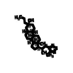 CCC[C@@]1(O)CC[C@H]2[C@@H](CC[C@@H]3[C@@H]2CC[C@]2(C)[C@@H](C(C)Cn4nnnc4C)CC[C@@H]32)C1